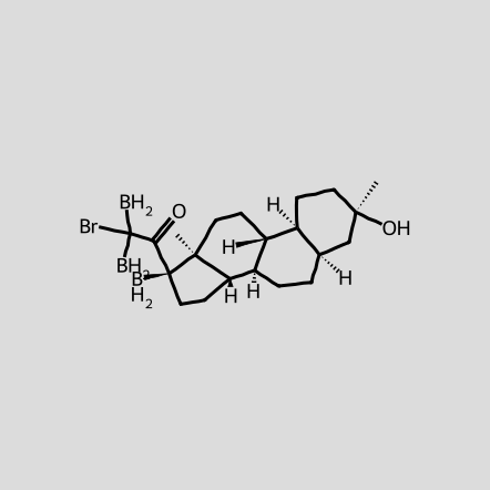 BC(B)(Br)C(=O)[C@@]1(B)CC[C@H]2[C@@H]3CC[C@@H]4C[C@](C)(O)CC[C@@H]4[C@H]3CC[C@@]21C